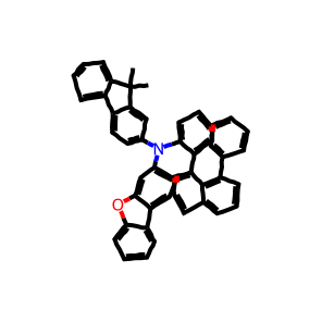 CC1(C)c2ccccc2-c2ccc(N(c3ccc4c(c3)oc3ccccc34)c3ccccc3-c3cccc4cccc(-c5ccccc5)c34)cc21